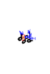 Cc1ccccc1N/C(=N/C#N)N1CCN(S(=O)(=O)c2ccccc2C#N)C(c2ccccc2)C1